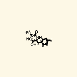 CC(C)(C)OC(=O)NC(Cc1ccc(F)cc1)C(O)C#N